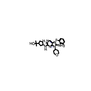 C=C(/N=C1\C(=C/N)N=C(Nc2c(F)cccc2F)N1C1CCOCC1)N[C@H]1CCC(C(C)(C)O)C1